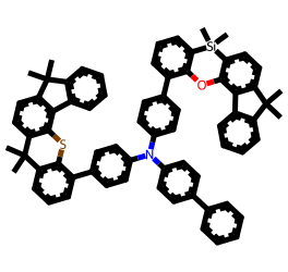 CC1(C)c2cccc(-c3ccc(N(c4ccc(-c5ccccc5)cc4)c4ccc(-c5cccc6c5Oc5c(ccc7c5-c5ccccc5C7(C)C)[Si]6(C)C)cc4)cc3)c2Sc2c1ccc1c2-c2ccccc2C1(C)C